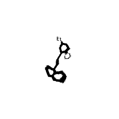 CCC1CCC(=O)C(CCc2cccc3ccccc23)C1